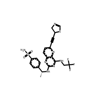 C[C@@H](Nc1nc(NCC(F)(F)F)c2nc(C#CC3CN=CS3)ccc2n1)c1ccc(S(N)(=O)=O)cc1